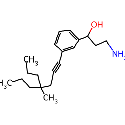 CCCC(C)(CC#Cc1cccc(C(O)CCN)c1)CCC